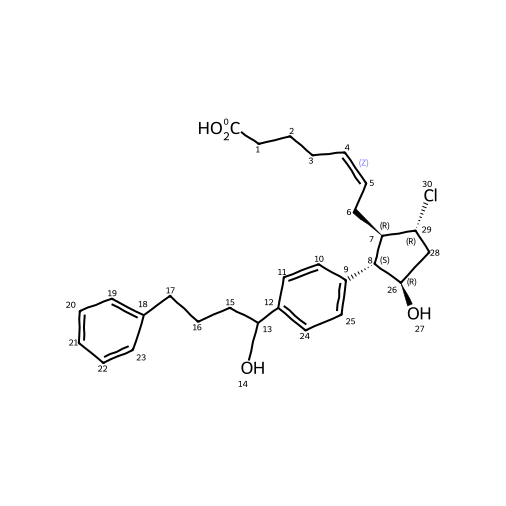 O=C(O)CCC/C=C\C[C@@H]1[C@@H](c2ccc(C(O)CCCc3ccccc3)cc2)[C@H](O)C[C@H]1Cl